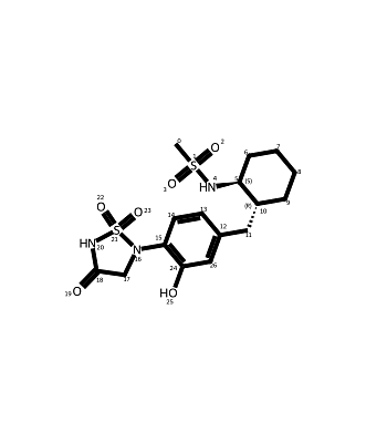 CS(=O)(=O)N[C@H]1CCCC[C@@H]1Cc1ccc(N2CC(=O)NS2(=O)=O)c(O)c1